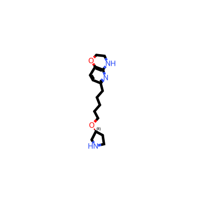 c1cc2c(nc1CCCCCO[C@@H]1CCNC1)NCCO2